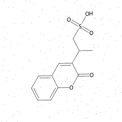 CC(CS(=O)(=O)O)c1cc2ccccc2oc1=O